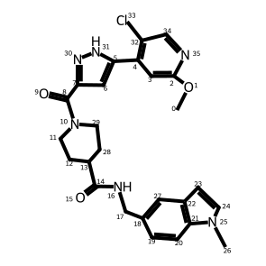 COc1cc(-c2cc(C(=O)N3CCC(C(=O)NCc4ccc5c(ccn5C)c4)CC3)n[nH]2)c(Cl)cn1